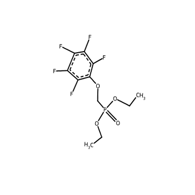 CCOP(=O)(COc1c(F)c(F)c(F)c(F)c1F)OCC